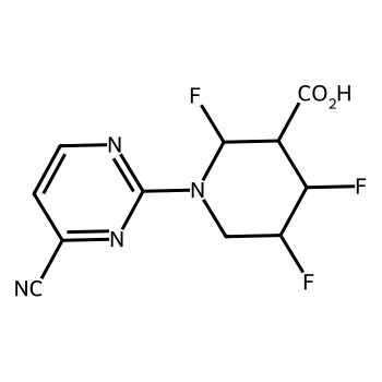 N#Cc1ccnc(N2CC(F)C(F)C(C(=O)O)C2F)n1